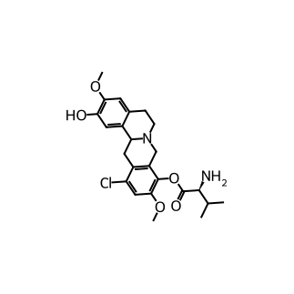 COc1cc2c(cc1O)C1Cc3c(Cl)cc(OC)c(OC(=O)[C@@H](N)C(C)C)c3CN1CC2